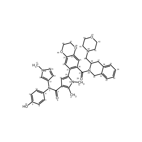 Cc1c(C(=O)N(c2ccc(O)cc2)c2cnn(C)c2)cc(-c2cc3c(cc2C(=O)N2Cc4ccccc4CC2CN2CCOCC2)OCCO3)n1C